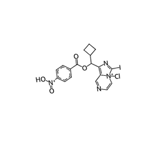 O=C(OC(C1=C2C=NC=C[N+]2(Cl)C(I)=N1)C1CCC1)c1ccc([N+](=O)O)cc1